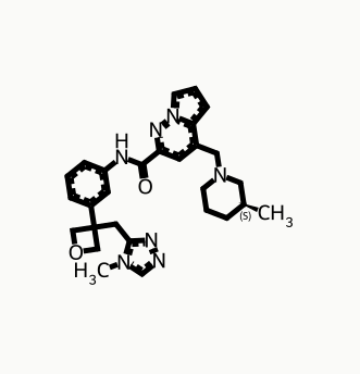 C[C@H]1CCCN(Cc2cc(C(=O)Nc3cccc(C4(Cc5nncn5C)COC4)c3)nn3cccc23)C1